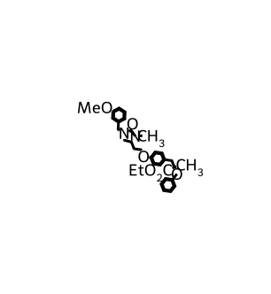 CCOC(=O)C(C)(Cc1ccc(OCCC2CN(Cc3cccc(OC)c3)C(=O)N2C)cc1)Oc1ccccc1